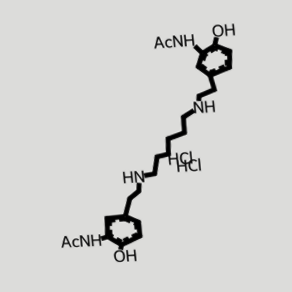 CC(=O)Nc1cc(CCNCCCCCCNCCc2ccc(O)c(NC(C)=O)c2)ccc1O.Cl.Cl